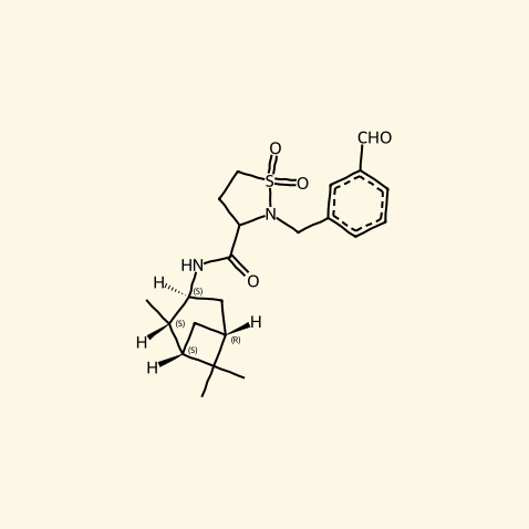 C[C@@H]1[C@@H](NC(=O)C2CCS(=O)(=O)N2Cc2cccc(C=O)c2)C[C@H]2C[C@@H]1C2(C)C